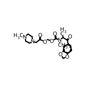 CC(C(=O)c1ccc2c(c1)OCO2)N(C)C(=O)OCOC(=O)CN1CCN(C)CC1